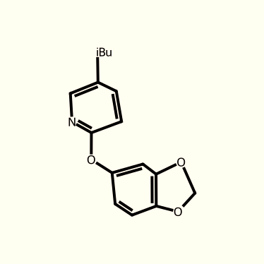 CCC(C)c1ccc(Oc2ccc3c(c2)OCO3)nc1